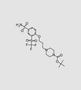 CC(C)(C)OC(=O)N1CCN(CCCOc2ccc(S(N)(=O)=O)cc2S(=O)(=O)C(F)(F)F)CC1